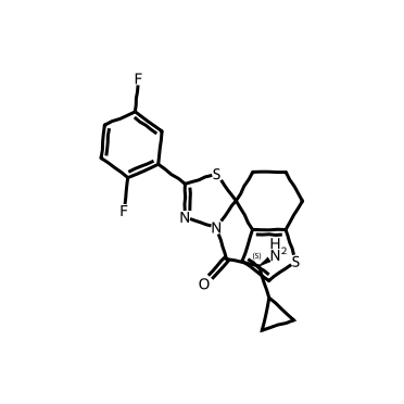 N[C@H](C(=O)N1N=C(c2cc(F)ccc2F)SC12CCCc1sccc12)C1CC1